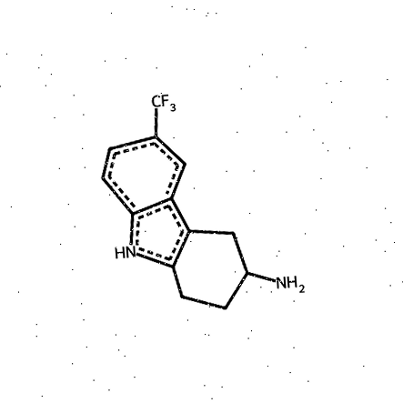 NC1CCc2[nH]c3ccc(C(F)(F)F)cc3c2C1